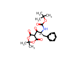 CC(C)(C)OC(=O)N[C@@H](Cc1ccccc1)C(=O)C1C(=O)OC(C)(C)OC1=O